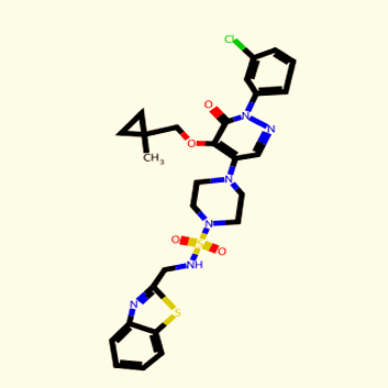 CC1(COc2c(N3CCN(S(=O)(=O)NCc4nc5ccccc5s4)CC3)cnn(-c3cccc(Cl)c3)c2=O)CC1